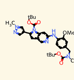 COc1cc(CN(C)C(=O)OC(C)(C)C)ccc1Nc1cc2c(cn1)cc(-c1cnn(C)c1)n2C(=O)OC(C)(C)C